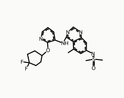 Cc1cc(N=S(C)(C)=O)cc2ncnc(Nc3cccnc3OC3CCC(F)(F)CC3)c12